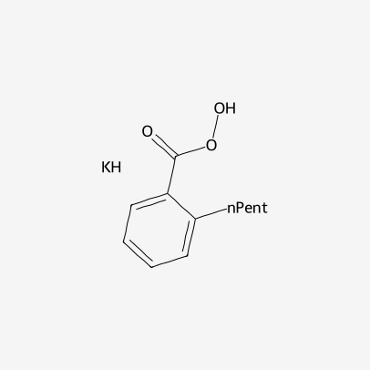 CCCCCc1ccccc1C(=O)OO.[KH]